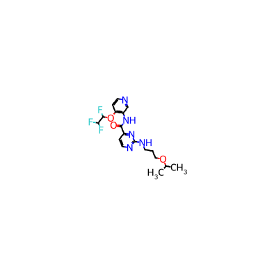 CC(C)OCCCNc1nccc(C(=O)Nc2cnccc2OC(F)C(F)F)n1